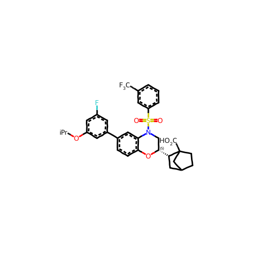 CC(C)Oc1cc(F)cc(-c2ccc3c(c2)N(S(=O)(=O)c2cccc(C(F)(F)F)c2)C[C@H](C2CC4CCC2(C(=O)O)C4)O3)c1